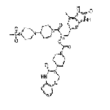 Cc1cc(C[C@@H](OC(=O)N2CCC(N3CCc4ccccc4NC3=O)CC2)C(=O)N2CCC(N3CCN(S(C)(=O)=O)CC3)CC2)cc2[nH]c(=O)[nH]c12